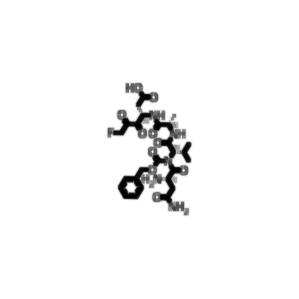 CC(C)[C@@H](C(=O)N[C@@H](C)C(=O)N[C@@H](CC(=O)O)C(=O)C(=O)CF)N(C(=O)OCc1ccccc1)C(=O)[C@@H](N)CC(N)=O